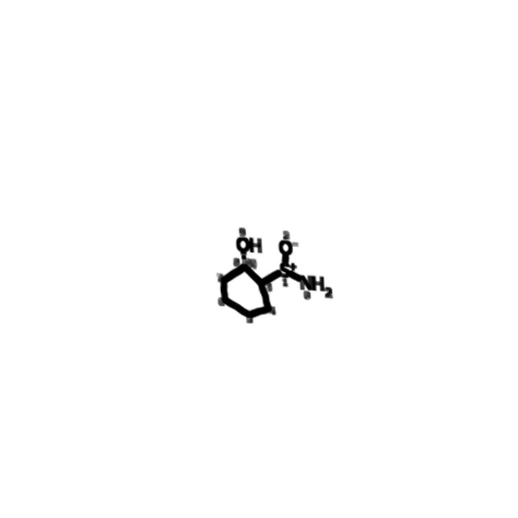 N[S+]([O-])C1CCCC[C@@H]1O